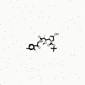 CO[C@H]([C@@H](C)C(=O)NCC(=O)c1ccc(C)cc1C)[C@@H]1C[C@H](O)CN1C(=O)OC(C)(C)C